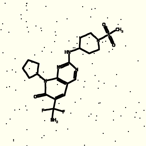 BC(F)(F)c1cc2cnc(NC3CCN(S(C)(=O)=O)CC3)nc2n(C2CCCC2)c1=O